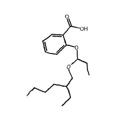 CCCCC(CC)COC(CC)Oc1ccccc1C(=O)O